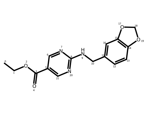 CCOC(=O)c1cnc(NCc2ccc3c(c2)OCO3)nc1